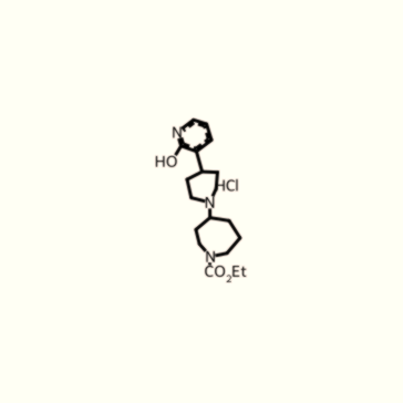 CCOC(=O)N1CCCC(N2CCC(c3cccnc3O)CC2)CC1.Cl